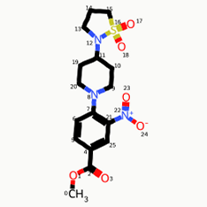 COC(=O)c1ccc(N2CCC(N3CCCS3(=O)=O)CC2)c([N+](=O)[O-])c1